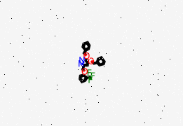 FC(F)(F)c1ccccc1OCc1cc(OCc2ccccc2)c(OCc2ccccc2)nn1